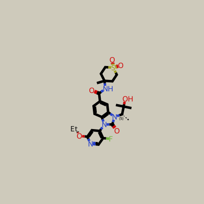 CCOc1cc(-n2c(=O)n([C@@H](C)C(C)(C)O)c3cc(C(=O)NC4(C)CCS(=O)(=O)CC4)ccc32)c(F)cn1